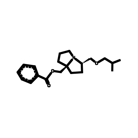 CC(C)COC[C@@H]1CC[C@]2(COC(=O)c3ccccc3)CCCN12